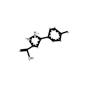 C=C(O)c1cc(-c2ccc(C)cc2)[nH]n1